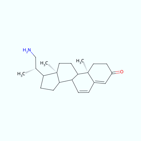 C[C@H](CN)C1CCC2C3C=CC4=CC(=O)CC[C@]4(C)C3CC[C@@]21C